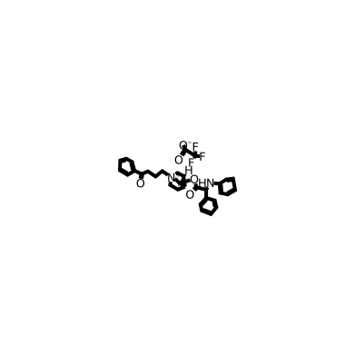 O=C(CCC[N+]12CCC(CC1)[C@@H](OC(=O)C(Nc1ccccc1)c1ccccc1)C2)c1ccccc1.O=C([O-])C(F)(F)F